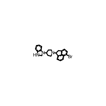 Brc1ccc2c3c(cccc13)C(N1CCC(N3[CH]Nc4ccccc43)CC1)C2